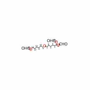 O=[C]OC(CCCCCOCCCCCCOC=O)OC=O